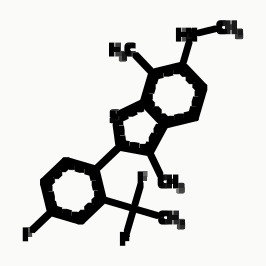 CNc1ccc2c(C)c(-c3ccc(F)cc3C(C)(F)F)sc2c1C